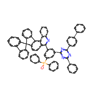 O=P(c1ccccc1)(c1ccccc1)c1cc(-c2nc(-c3ccccc3)nc(-c3ccc(-c4ccccc4)cc3)n2)cc(-c2nc3ccccc3c3c4c(ccc23)C2(c3ccccc3-c3ccccc32)c2ccccc2-4)c1